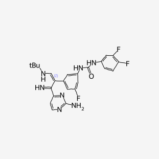 CC(C)(C)N/C=C(\C(=N)c1ccnc(N)n1)c1cc(F)cc(NC(=O)Nc2ccc(F)c(F)c2)c1